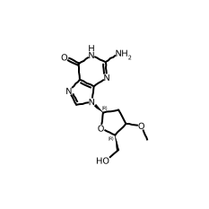 COC1C[C@H](n2cnc3c(=O)[nH]c(N)nc32)O[C@@H]1CO